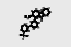 CC(C)(C)c1ccnc(-c2cccc(-c3c(N)ccc4c3[nH]c3ccccc34)c2)c1